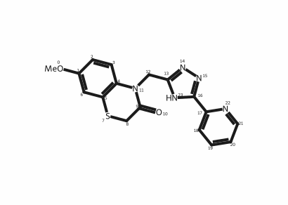 COc1ccc2c(c1)SCC(=O)N2Cc1nnc(-c2ccccn2)[nH]1